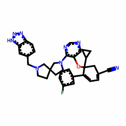 N#CC1=CC=C(c2cccc(F)c2)C(Oc2cncnc2N2CCC3(CCN(Cc4ccc5nn[nH]c5c4)C3)C2)(C2CC2)C1